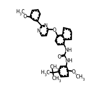 COc1cccc(-c2nccc(Oc3ccc(NC(=O)Nc4cc(C(C)(C)C)ccc4OC)c4ccccc34)n2)c1